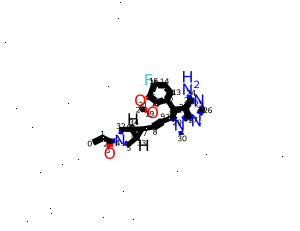 C=CC(=O)N1C[C@@H]2C(C#Cc3c(-c4ccc(F)c5c4OCO5)c4c(N)ncnc4n3C)[C@@H]2C1